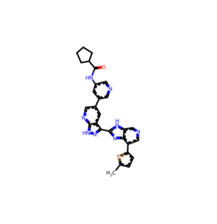 Cc1ccc(-c2cncc3[nH]c(-c4n[nH]c5ncc(-c6cncc(NC(=O)C7CCCC7)c6)cc45)nc23)s1